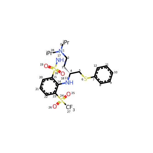 CC(C)N(CC[C@H](CSc1ccccc1)Nc1c(S(N)(=O)=O)cccc1S(=O)(=O)C(F)(F)F)C(C)C